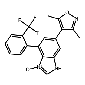 Cc1noc(C)c1-c1cc(-c2ccccc2C(F)(F)F)c2c(c1)[nH]c[n+]2[O-]